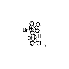 CC(CC(=O)Nc1cc2c(cc1C=O)c(Br)nn2C(c1ccccc1)(c1ccccc1)c1ccccc1)c1ccccc1